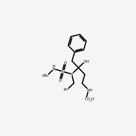 CCCCNS(=O)(=O)N(CC(C)C)C(O)(CCNC(=O)O)Cc1ccccc1